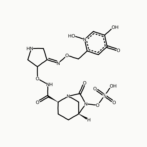 O=C(NOC1CNCC1=NOCc1cc(=O)c(O)cn1O)[C@@H]1CC[C@@H]2CN1C(=O)N2OS(=O)(=O)O